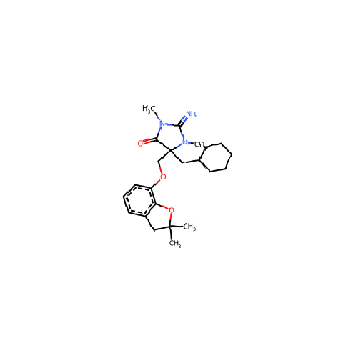 CN1C(=N)N(C)C(COc2cccc3c2OC(C)(C)C3)(CC2CCCCC2)C1=O